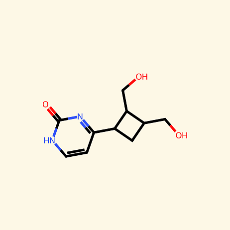 O=c1nc(C2CC(CO)C2CO)cc[nH]1